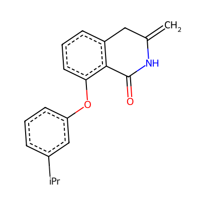 C=C1Cc2cccc(Oc3cccc(C(C)C)c3)c2C(=O)N1